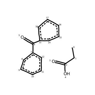 CCC(=O)O.O=C(c1ccccc1)c1ccccc1